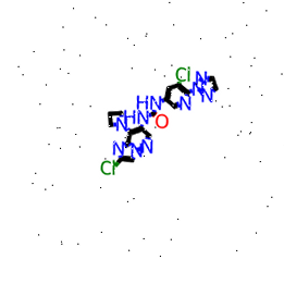 O=C(Nc1cnc(-n2nccn2)c(Cl)c1)Nc1cnn2cc(Cl)nc2c1N1CCC1